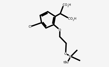 CC(C)(C)[Si](C)(C)OCCOc1cc(Cl)ccc1C(C(=O)O)C(=O)O